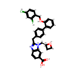 O=C(O)c1ccc2nc(Cc3ccc(-c4ccccc4OCc4ccc(Cl)cc4F)cc3)n(C[C@@H]3CCO3)c2c1